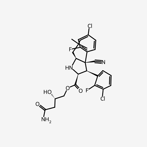 CC(C)(C)C[C@@H]1N[C@H](C(=O)OC[C@@H](O)CC(N)=O)[C@H](c2cccc(Cl)c2F)[C@@]1(C#N)c1ccc(Cl)cc1F